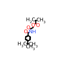 C=C(C)C(=O)OCC(=O)NC(=O)c1ccc(C(C)(C)C)cc1